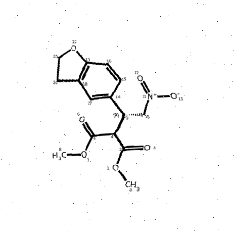 COC(=O)C(C(=O)OC)[C@@H](C[N+](=O)[O-])c1ccc2c(c1)CCO2